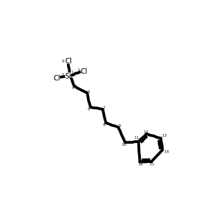 Cl[Si](Cl)(Cl)CCCCCCCc1ccccc1